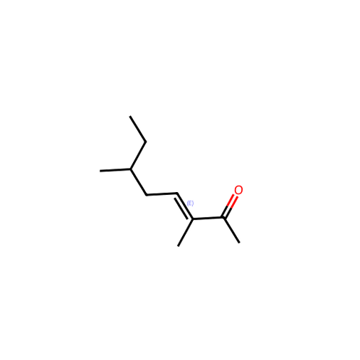 CCC(C)C/C=C(\C)C(C)=O